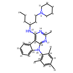 CCCC(CCN1CCCCC1)Nc1nc(C)nc2c1c1ccccc1n2-c1c(C)cc(C)cc1C